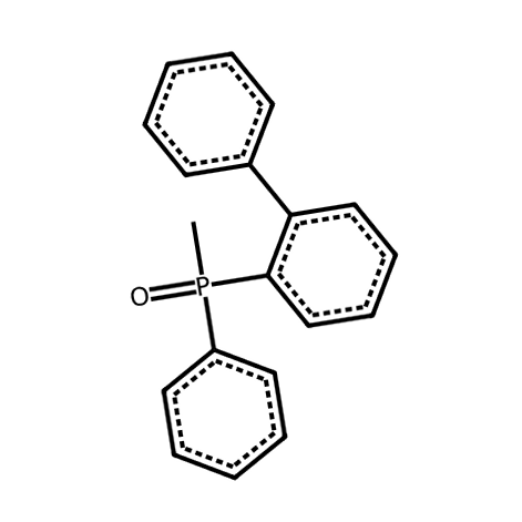 CP(=O)(c1ccccc1)c1ccccc1-c1ccccc1